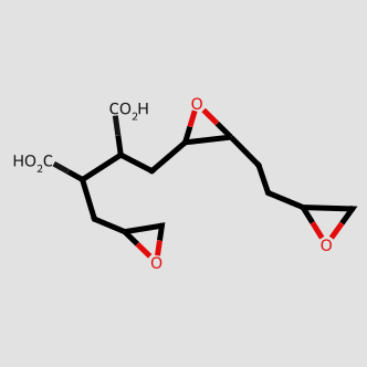 O=C(O)C(CC1CO1)C(CC1OC1CCC1CO1)C(=O)O